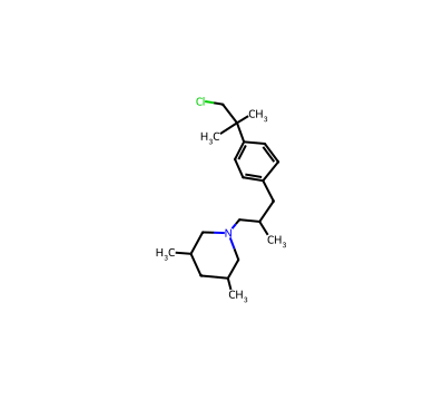 CC(Cc1ccc(C(C)(C)CCl)cc1)CN1CC(C)CC(C)C1